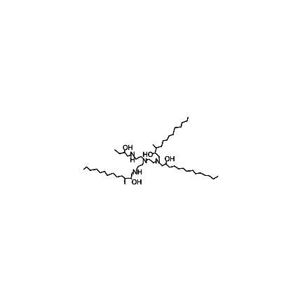 CCCCCCCCCCCCC(O)CN(CCN(CCNCC(O)CC)CCNCC(O)C(C)CCCCCCCCCC)CC(O)C(C)CCCCCCCCCC